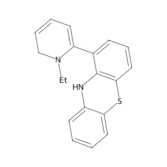 CCN1CC=CC=C1c1cccc2c1Nc1ccccc1S2